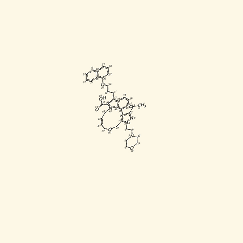 CCc1nn(CCN2CCOCC2)c2c1-c1c(Cl)ccc3c(CCCOc4cccc5ccccc45)c(C(=O)O)n(c13)C/C=C\COC2